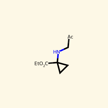 CCOC(=O)C1(NCC(C)=O)CC1